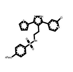 CCCCCc1ccc(S(=O)(=O)NCCc2c(-c3cccs3)n[nH]c2-c2ccnc(Cl)c2)cc1